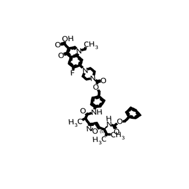 CCn1cc(C(=O)O)c(=O)c2cc(F)c(N3CCN(C(=O)OCc4ccc(NC(=O)C(C)c5cc([C@@H](NC(=O)OCc6ccccc6)C(C)C)on5)cc4)CC3)cc21